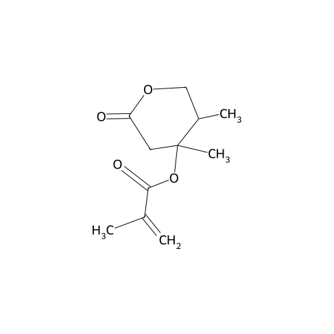 C=C(C)C(=O)OC1(C)CC(=O)OCC1C